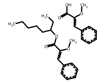 CCCCCC(CC)OC(=O)C(=Cc1ccccc1)OC.COC(=Cc1ccccc1)C(=O)O